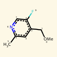 COCc1cc(C)ncc1F